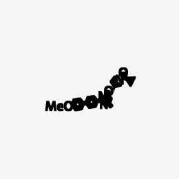 COc1ccc(-c2ccc(-c3nc(C)cc(OC[C@@H]4CCN(C(=O)C5CC5)C4)n3)cc2)cc1